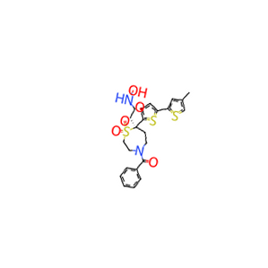 Cc1csc(-c2ccc([C@@]3(CC(=O)NO)CCN(C(=O)c4ccccc4)CCS3(=O)=O)s2)c1